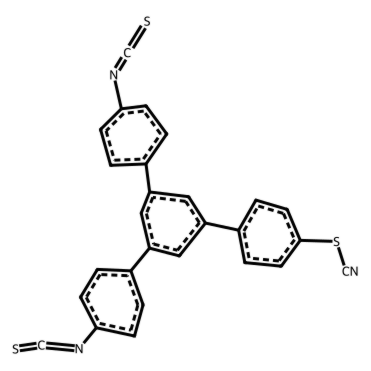 N#CSc1ccc(-c2cc(-c3ccc(N=C=S)cc3)cc(-c3ccc(N=C=S)cc3)c2)cc1